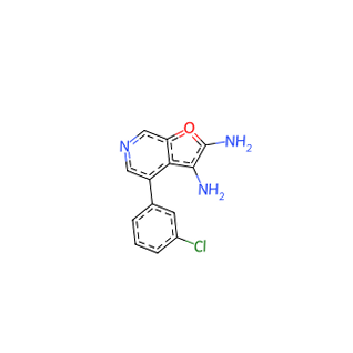 Nc1oc2cncc(-c3cccc(Cl)c3)c2c1N